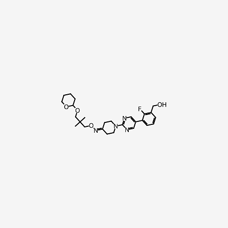 CC(C)(CON=C1CCN(c2ncc(-c3cccc(CO)c3F)cn2)CC1)COC1CCCCO1